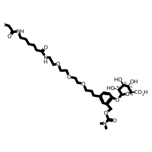 CN(C)C(=O)OCc1cc(CCCOCCOCCOCCNC(=O)CCCCCNC(=O)CI)ccc1OC1O[C@H](C(=O)O)[C@@H](O)[C@H](O)[C@H]1O